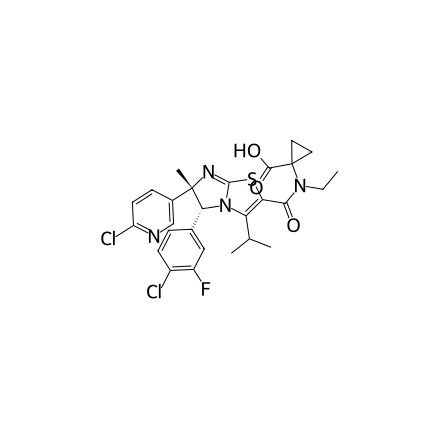 CCN(C(=O)C1=C(C(C)C)N2C(=N[C@@](C)(c3ccc(Cl)nc3)[C@H]2c2ccc(Cl)c(F)c2)S1)C1(C(=O)O)CC1